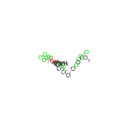 CC#N.CC(=O)O.CCC(=O)O.CCCCCC.CCCCCCC.Cc1ccccc1.Cc1ccccc1C.ClC(Cl)(Cl)Cl.ClC(Cl)Cl.ClCCCl.ClCCl.Clc1ccccc1.Clc1ccccc1Cl.c1ccccc1